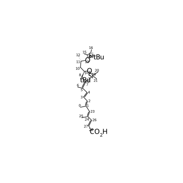 CC(=C\C=C\C(C)=C\C[C@@H](C[C@H](C)O[Si](C)(C)C(C)(C)C)O[Si](C)(C)C(C)(C)C)/C=C(C)/C=C/C(=O)O